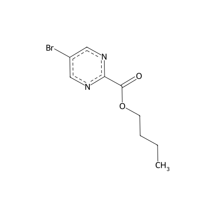 CCCCOC(=O)c1ncc(Br)cn1